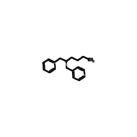 CCCC[C](Cc1ccccc1)Cc1ccccc1